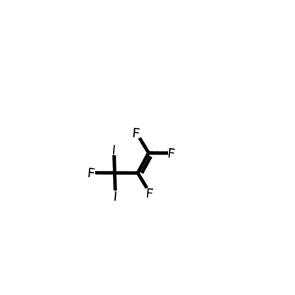 FC(F)=C(F)C(F)(I)I